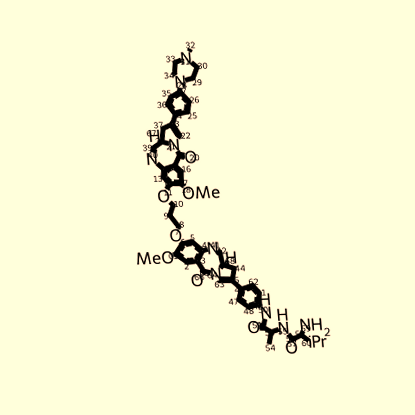 COc1cc2c(cc1OCCCOc1cc3c(cc1OC)C(=O)N1C=C(c4ccc(N5CCN(C)CC5)cc4)C[C@@H]1C=N3)N=C[C@H]1CC(c3ccc(NC(=O)C(C)NC(=O)C(N)C(C)C)cc3)=CN1C2=O